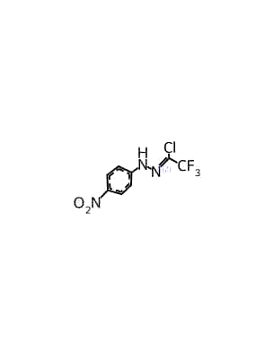 O=[N+]([O-])c1ccc(N/N=C(\Cl)C(F)(F)F)cc1